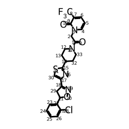 O=C(Cn1cccc(C(F)(F)F)c1=O)N1CCC(c2nc(C3=NOC(c4ccccc4Cl)C3)cs2)CC1